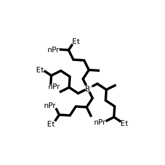 CCCC(CC)CCC(C)C[B-](CC(C)CCC(CC)CCC)(CC(C)CCC(CC)CCC)CC(C)CCC(CC)CCC